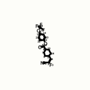 N#C/C(F)=C\C1CCC(C(=O)Oc2ccc(OC(F)(F)F)cc2)CC1